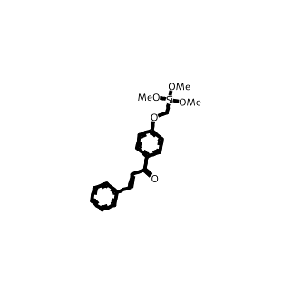 CO[Si](COc1ccc(C(=O)/C=C/c2ccccc2)cc1)(OC)OC